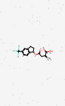 C=C(CC(=O)OC1CCc2cc(C(F)(F)F)ccc21)C(=O)O